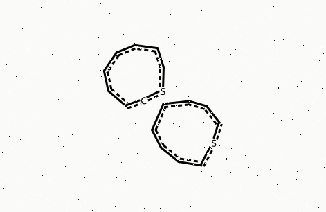 c1ccccsccc1.c1ccccsccc1